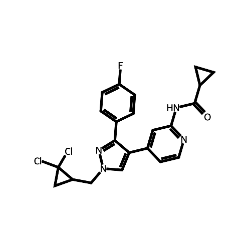 O=C(Nc1cc(-c2cn(CC3CC3(Cl)Cl)nc2-c2ccc(F)cc2)ccn1)C1CC1